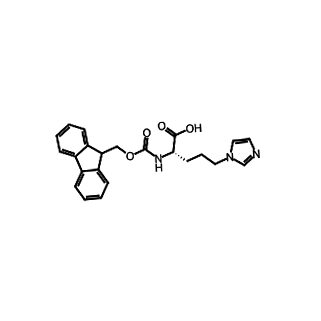 O=C(N[C@@H](CCCn1ccnc1)C(=O)O)OCC1c2ccccc2-c2ccccc21